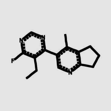 CCc1c(F)ncnc1-c1cnc2c(c1C)CCC2